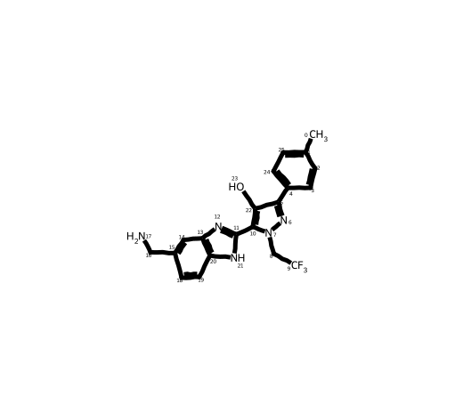 Cc1ccc(-c2nn(CC(F)(F)F)c(-c3nc4cc(CN)ccc4[nH]3)c2O)cc1